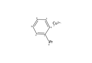 CC(C)c1ccccc1.[Cu+2]